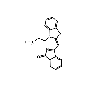 O=C(O)CCN1C(=CC2=NC(=O)c3ccccc32)Sc2ccccc21